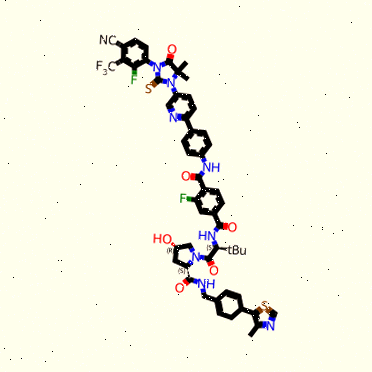 Cc1ncsc1C1C=CC(CNC(=O)[C@@H]2C[C@@H](O)CN2C(=O)[C@@H](NC(=O)c2ccc(C(=O)Nc3ccc(-c4ccc(N5C(=S)N(c6ccc(C#N)c(C(F)(F)F)c6F)C(=O)C5(C)C)cn4)cc3)c(F)c2)C(C)(C)C)=CC1